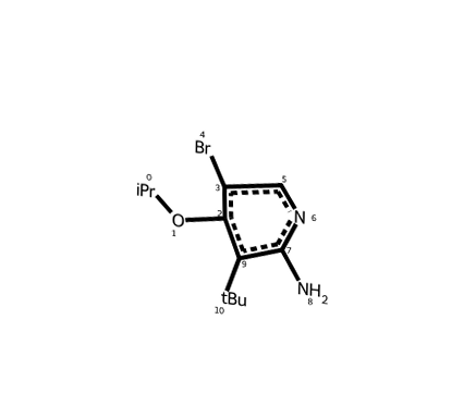 CC(C)Oc1c(Br)cnc(N)c1C(C)(C)C